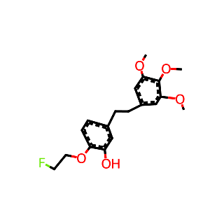 COc1cc(CCc2ccc(OCCF)c(O)c2)cc(OC)c1OC